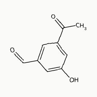 CC(=O)c1cc(O)cc(C=O)c1